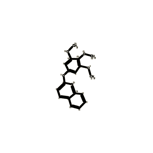 COc1cc(Oc2ccc3ccc[c]c3n2)cc(OC)c1OC